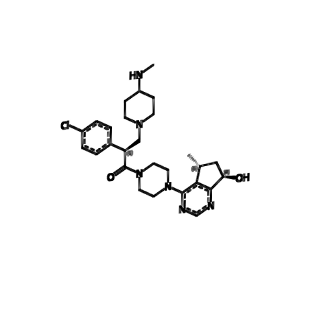 CNC1CCN(C[C@@H](C(=O)N2CCN(c3ncnc4c3[C@H](C)C[C@H]4O)CC2)c2ccc(Cl)cc2)CC1